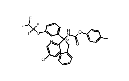 Cc1ccc(OC(=O)N[C@@](Cc2ccccc2)(c2cccc(OC(F)(F)C(F)F)c2)c2ccc(Cl)cn2)cc1